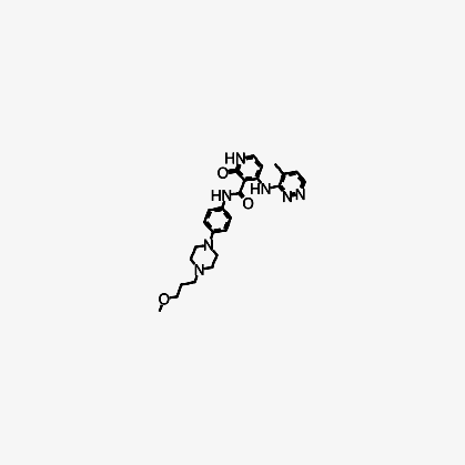 COCCCN1CCN(c2ccc(NC(=O)c3c(Nc4nnccc4C)cc[nH]c3=O)cc2)CC1